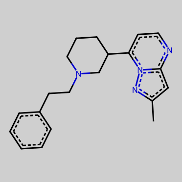 Cc1cc2nccc(C3CCCN(CCc4ccccc4)C3)n2n1